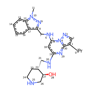 CC(C)c1cnn2c(NCc3nn(C)c4ccccc34)cc(NC[C@H]3CCNC[C@@H]3O)nc12